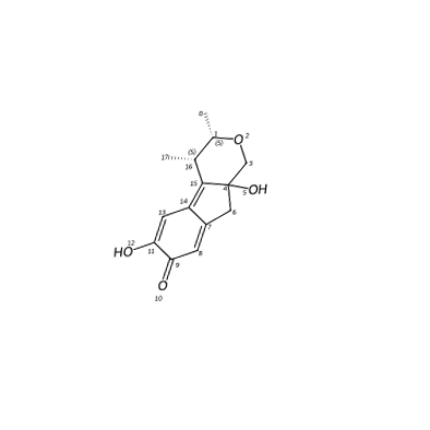 C[C@@H]1OCC2(O)CC3=CC(=O)C(O)=CC3=C2[C@@H]1C